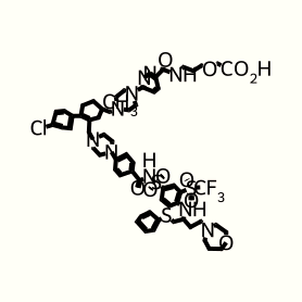 CC1(CN2CCN(c3ccc(C(=O)NCCCOCC(=O)O)nn3)CC2)CCC(c2ccc(Cl)cc2)=C(CN2CCN(c3ccc(C(=O)NS(=O)(=O)c4ccc(NC(CCN5CCCOCC5)CSc5ccccc5)c(S(=O)(=O)C(F)(F)F)c4)cc3)CC2)C1